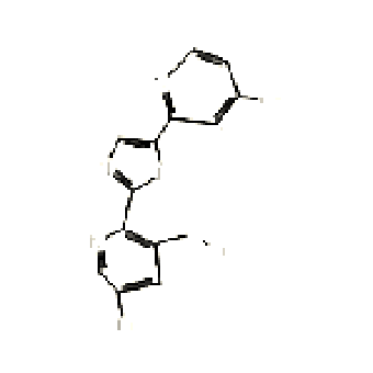 CCSc1cc(Br)cnc1-c1ncc(-c2cc(C(F)(F)F)ccn2)[nH]1